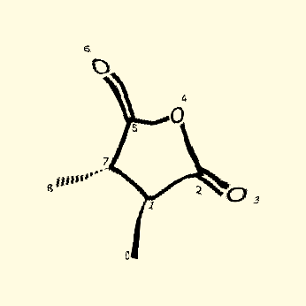 C[C@@H]1C(=O)OC(=O)[C@H]1C